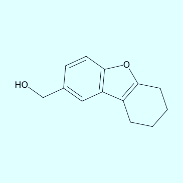 OCc1ccc2oc3c(c2c1)CCCC3